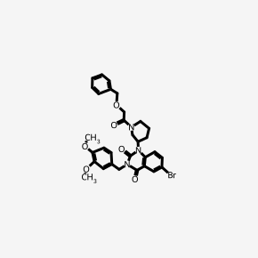 COc1ccc(Cn2c(=O)c3cc(Br)ccc3n(C3CCCN(C(=O)COCc4ccccc4)C3)c2=O)cc1OC